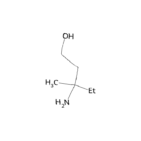 CCC(C)(N)CCO